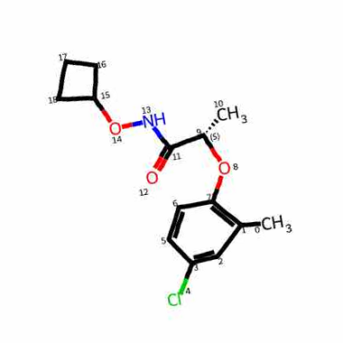 Cc1cc(Cl)ccc1O[C@@H](C)C(=O)NOC1CCC1